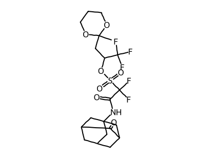 CC1(CC(OS(=O)(=O)C(F)(F)C(=O)NC23CC4CC(C2)C(=O)C(C4)C3)C(F)(F)F)OCCCO1